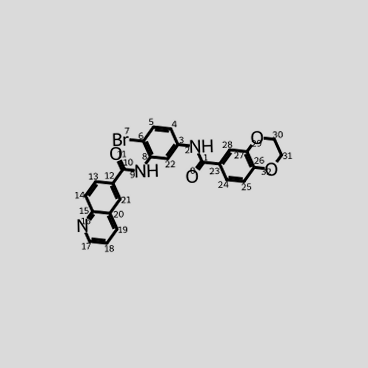 O=C(Nc1ccc(Br)c(NC(=O)c2ccc3ncccc3c2)c1)c1ccc2c(c1)OCCO2